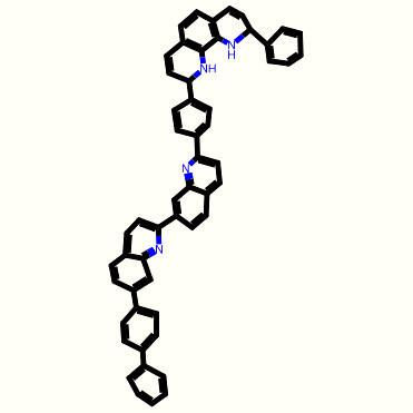 C1=CC(c2ccccc2)Nc2c1ccc1c2NC(c2ccc(-c3ccc4ccc(-c5ccc6ccc(-c7ccc(-c8ccccc8)cc7)cc6n5)cc4n3)cc2)C=C1